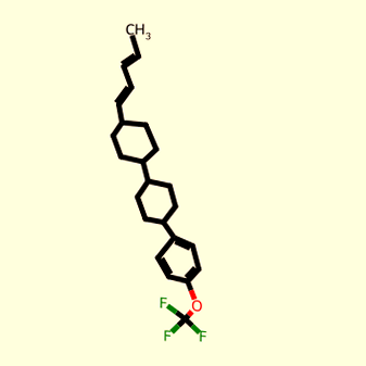 CC=CC=CC1CCC(C2CCC(c3ccc(OC(F)(F)F)cc3)CC2)CC1